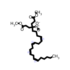 CCCCC/C=C\C/C=C\C/C=C\C/C=C\CCCC(CCC(=O)OC)(CCC(=O)OC)[N+](=O)[O-]